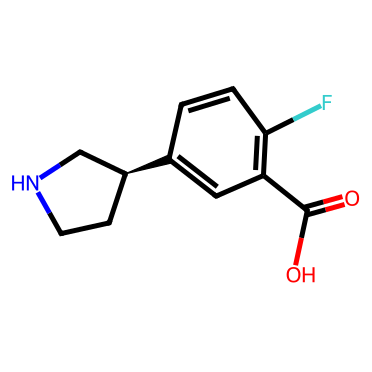 O=C(O)c1cc([C@H]2CCNC2)ccc1F